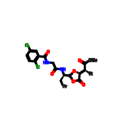 CC[C@@H](C(=O)OC)[C@H]1OB([C@H](CC(C)C)NC(=O)CNC(=O)c2cc(Cl)ccc2Cl)OC1=O